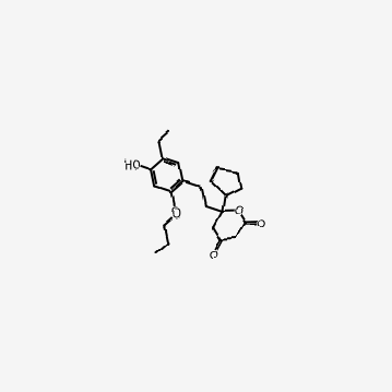 CCCOc1cc(O)c(CC)cc1CCC1(C2CCCC2)CC(=O)CC(=O)O1